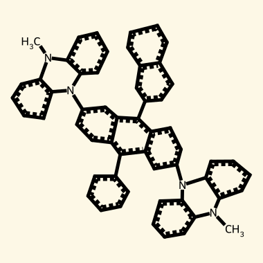 CN1c2ccccc2N(c2ccc3c(-c4ccc5ccccc5c4)c4cc(N5c6ccccc6N(C)c6ccccc65)ccc4c(-c4ccccc4)c3c2)c2ccccc21